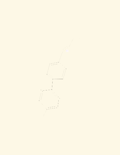 [CH2]/C=C/c1ccc(-c2ncc(CC)cn2)cc1